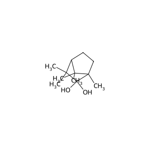 CC1(C)C2CCC(C)(C2(C)C)C1(O)O